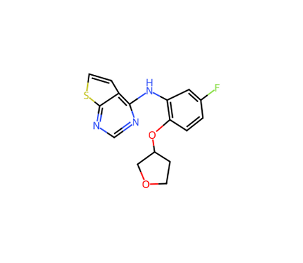 Fc1ccc(OC2CCOC2)c(Nc2ncnc3sccc23)c1